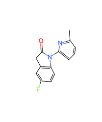 Cc1cccc(N2C(=O)Cc3cc(F)ccc32)n1